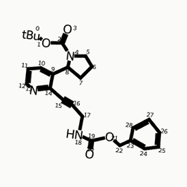 CC(C)(C)OC(=O)N1CCCC1c1cccnc1C#CCNC(=O)OCc1ccccc1